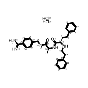 C[C@H](NC(=O)[C@@H](CCc1ccccc1)NCCc1ccccc1)C(=O)NCc1ccc(C(=N)N)cc1.Cl.Cl